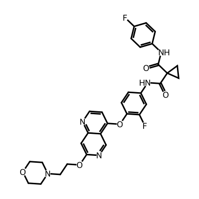 O=C(Nc1ccc(F)cc1)C1(C(=O)Nc2ccc(Oc3ccnc4cc(OCCN5CCOCC5)ncc34)c(F)c2)CC1